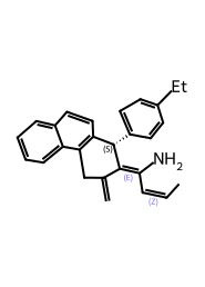 C=C1Cc2c(ccc3ccccc23)[C@H](c2ccc(CC)cc2)/C1=C(N)/C=C\C